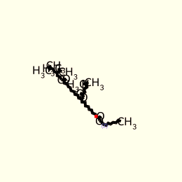 CCCCCC/C=C\COC(=O)CCCCCCCCCC(CCCCCCCCCC(=O)OCCC(CCC(C)C)C(C)C)OC(=O)CCCN(C)C